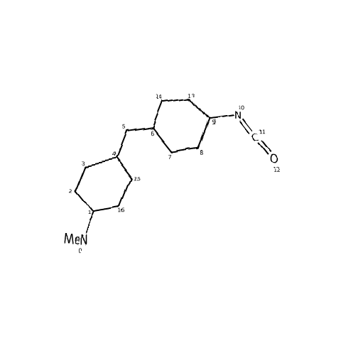 CNC1CCC(CC2CCC(N=C=O)CC2)CC1